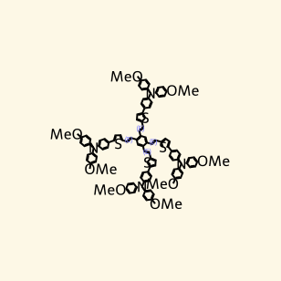 COc1ccc(N(c2ccc(OC)cc2)c2ccc(-c3ccc(/C=C/c4cc(/C=C/c5ccc(-c6ccc(N(c7ccc(OC)cc7)c7ccc(OC)cc7)cc6)s5)c(/C=C/c5ccc(-c6ccc(N(c7ccc(OC)cc7)c7ccc(OC)cc7)cc6)s5)cc4/C=C/c4ccc(-c5ccc(N(c6ccc(OC)cc6)c6ccc(OC)cc6)cc5)s4)s3)cc2)cc1